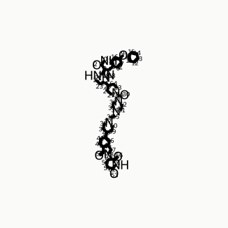 NC(=O)c1c(-c2ccc(Oc3ccccc3)cc2)nn2c1NCCC2C1CCN(C(=O)N2CCN(CCN3CCC(c4ccc5c(c4)CN(C4CCC(=O)NC4=O)C5=O)CC3)CC2)CC1